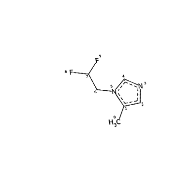 Cc1[c]n[c]n1CC(F)F